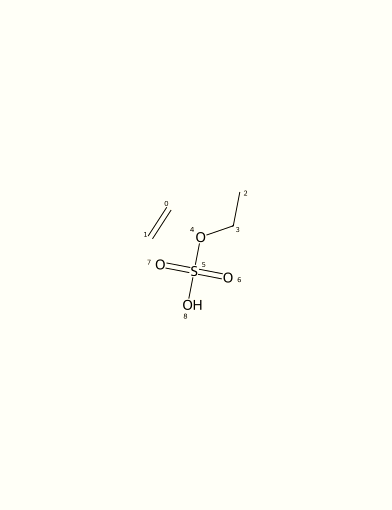 C=C.CCOS(=O)(=O)O